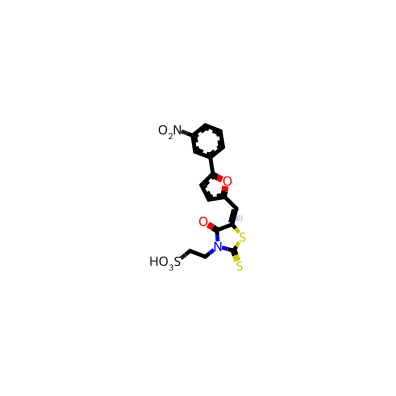 O=C1/C(=C\c2ccc(-c3cccc([N+](=O)[O-])c3)o2)SC(=S)N1CCS(=O)(=O)O